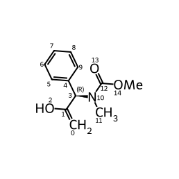 C=C(O)[C@@H](c1ccccc1)N(C)C(=O)OC